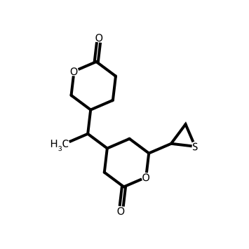 CC(C1CCC(=O)OC1)C1CC(=O)OC(C2CS2)C1